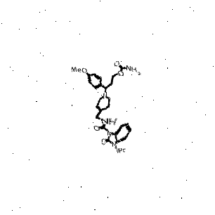 COc1ccc(C(CCOC(N)=O)N2CCC(CNC(=O)n3c(=O)n(C(C)C)c4ccccc43)CC2)cc1